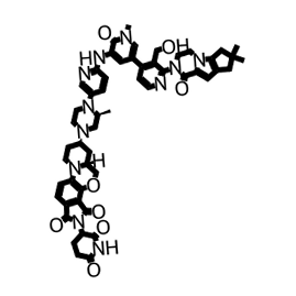 C[C@H]1CN([C@H]2CCN3c4ccc5c(c4OC[C@H]3C2)C(=O)N(C2CCC(=O)NC2=O)C5=O)CCN1c1ccc(Nc2cc(-c3ccnc(N4CCn5c(cc6c5CC(C)(C)C6)C4=O)c3CO)cn(C)c2=O)nc1